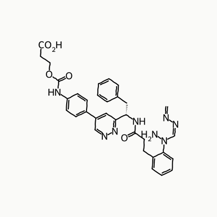 C=N/N=C\N(N)c1ccccc1CCC(=O)N[C@@H](Cc1ccccc1)c1cc(-c2ccc(NC(=O)OCCC(=O)O)cc2)cnn1